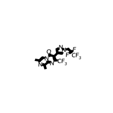 Cc1cn2c(=O)c(-c3cnn(CC(F)(F)C(F)(F)F)c3)c(C(F)(F)F)nc2c(C)n1